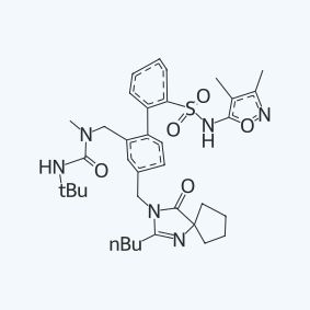 CCCCC1=NC2(CCCC2)C(=O)N1Cc1ccc(-c2ccccc2S(=O)(=O)Nc2onc(C)c2C)c(CN(C)C(=O)NC(C)(C)C)c1